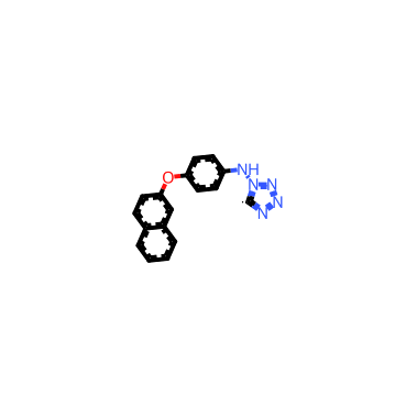 [c]1nnnn1Nc1ccc(Oc2ccc3ccccc3c2)cc1